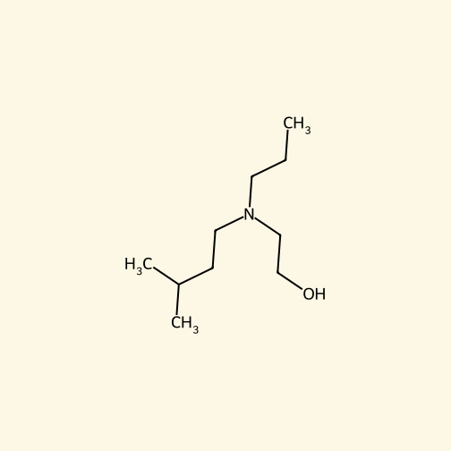 CCCN(CCO)CCC(C)C